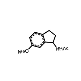 COc1ccc2c(c1)C(NC(C)=O)CC2